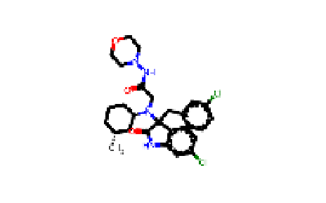 C[C@@H]1CCC[C@@H](N(CC(=O)NN2CCOCC2)C2(Cc3cccc(Cl)c3)C(=O)Nc3cc(Cl)ccc32)C1